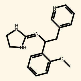 COc1ccccc1C(Cc1cccnc1)N=C1NCCN1